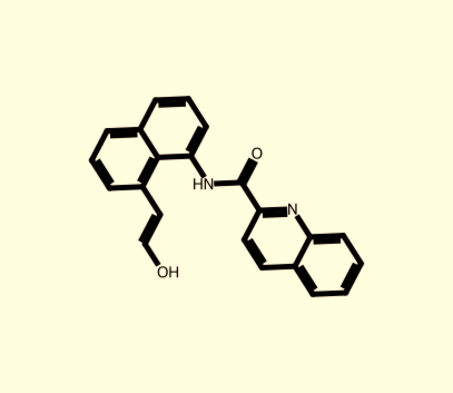 O=C(Nc1cccc2cccc(C=CO)c12)c1ccc2ccccc2n1